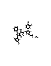 COCCN1C[C@@H](NC(=O)Nc2c(C)c(-c3cc(C)nn3C)nn2-c2ccccc2)[C@H](c2ccc(F)c(F)c2)C1